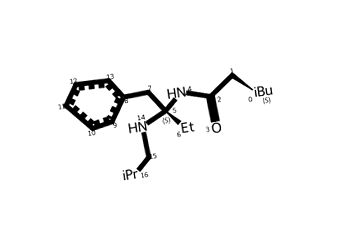 CC[C@H](C)CC(=O)N[C@@](CC)(Cc1ccccc1)NCC(C)C